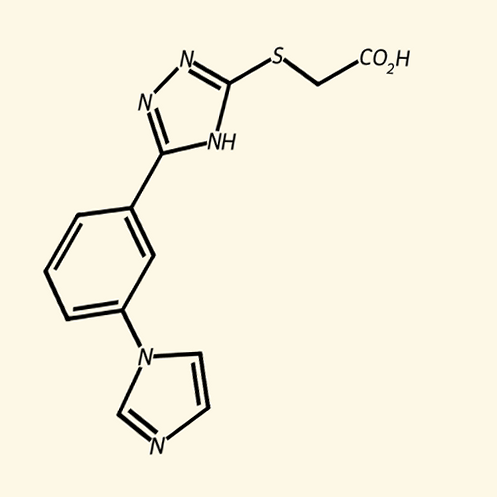 O=C(O)CSc1nnc(-c2cccc(-n3ccnc3)c2)[nH]1